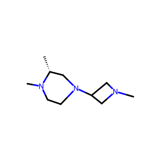 C[C@@H]1CN(C2CN(C)C2)CCN1C